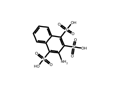 Nc1c(S(=O)(=O)O)c(S(=O)(=O)O)c2ccccc2c1S(=O)(=O)O